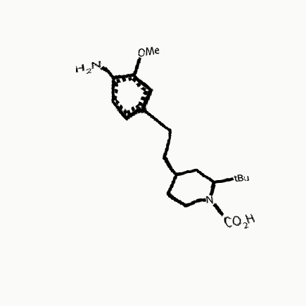 COc1cc(CCC2CCN(C(=O)O)C(C(C)(C)C)C2)ccc1N